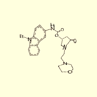 CCn1c2ccccc2c2cc(NC(=O)OC3CC(=O)N(CCN4CCOCC4)C3)ccc21